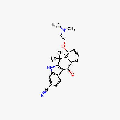 CN(C)CCOc1cccc2c1C(C)(C)c1[nH]c3cc(C#N)ccc3c1C2=O